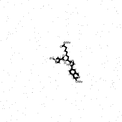 CNC(=O)CCCCCC(NC(=O)c1cnn(C(C)C)c1)c1ncc(-c2ccc3cc(OC)ncc3c2)[nH]1